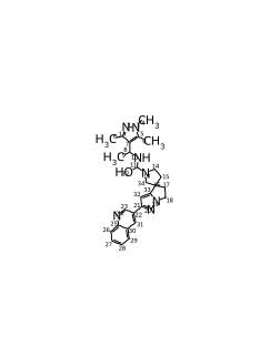 Cc1nn(C)c(C)c1C(C)NC(O)N1CCC2(CCn3nc(-c4cnc5ccccc5c4)cc32)C1